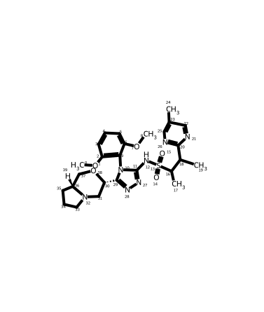 COc1cccc(OC)c1-n1c(NS(=O)(=O)C(C)C(C)c2ncc(C)cn2)nnc1[C@@H]1CN2CCC[C@@H]2CO1